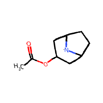 CC(=O)OC1CC2CCC(C1)[N]2